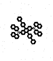 C1=CCCC(C2=CC=C(c3c4cc(N(c5ccc6ccccc6c5)c5cccc6ccccc56)ccc4c(-c4ccc(-c5ccccc5)cc4)c4cc(N(c5ccc6ccccc6c5)c5cccc6ccccc56)ccc34)CC2)=C1